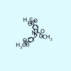 COC(=O)c1c2ccc(S(C)(=O)=O)cc2nn1Cc1ccc(S(C)(=O)=O)cc1